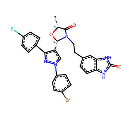 C[C@H]1O[C@@H](c2cn(-c3ccc(Br)cc3)nc2-c2ccc(F)cc2)N(CCc2ccc3[nH]c(=O)[nH]c3c2)C1=O